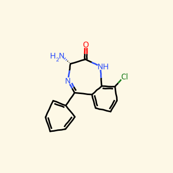 N[C@H]1N=C(c2ccccc2)c2cccc(Cl)c2NC1=O